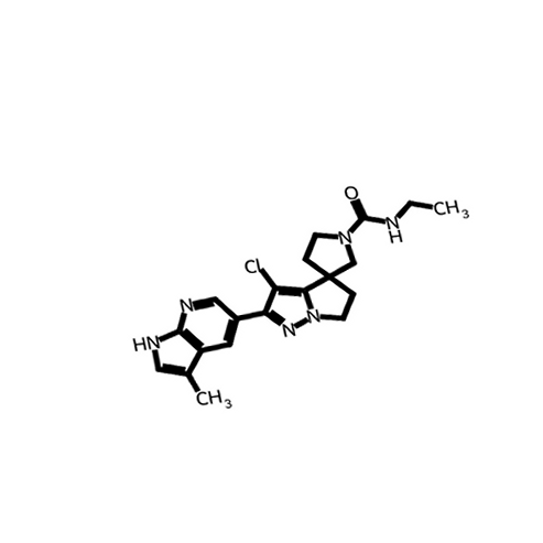 CCNC(=O)N1CCC2(CCn3nc(-c4cnc5[nH]cc(C)c5c4)c(Cl)c32)C1